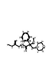 C=C(CC)CNC(=S)C(CN1CCOCC1)(OC)c1ccccn1